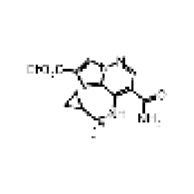 CCOC(=O)c1cc2c(N[C@H](C)C3CC3)c(C(N)=O)cnn2c1